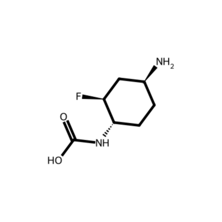 N[C@H]1CC[C@H](NC(=O)O)[C@@H](F)C1